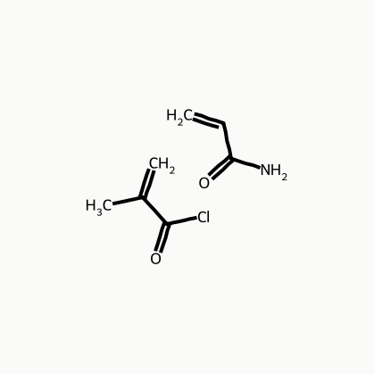 C=C(C)C(=O)Cl.C=CC(N)=O